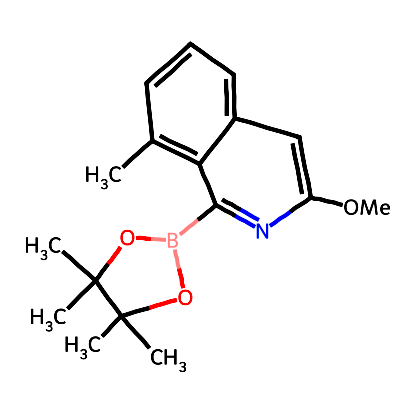 COc1cc2cccc(C)c2c(B2OC(C)(C)C(C)(C)O2)n1